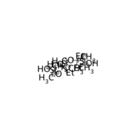 CCC(CC)(O[Si](C)(C)[C@](C)(CC)O[Si](C)(C)O)[Si](C)(C)O